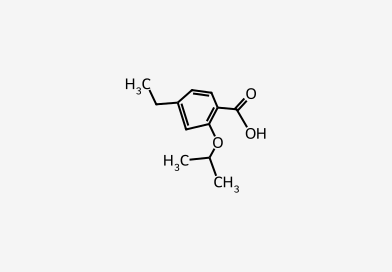 CCc1ccc(C(=O)O)c(OC(C)C)c1